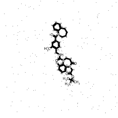 Cc1cc(C(=O)N2CCCCc3ccccc32)ccc1CNC(=O)N1CCC(=O)N(CC(=O)OC(C)(C)C)c2cccc(F)c21